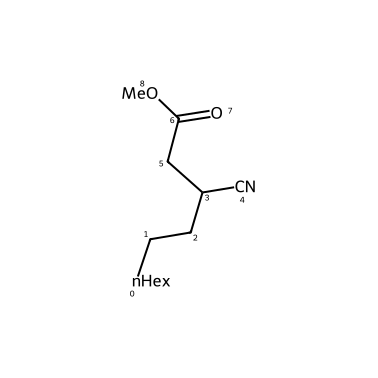 CCCCCCCCC(C#N)CC(=O)OC